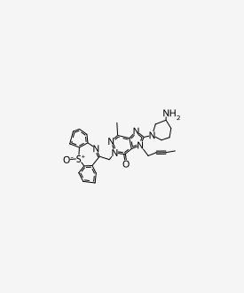 CC#CCn1c(N2CCCC(N)C2)nc2c(C)nn(CC3=Nc4ccccc4[S+]([O-])c4ccccc43)c(=O)c21